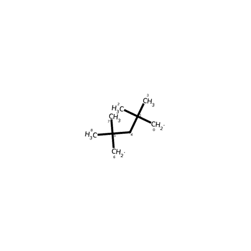 [CH2]C(C)(C)CC([CH2])(C)C